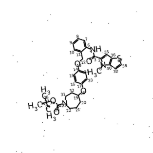 Cn1c(C(=O)Nc2ccccc2COc2ccc(OC3CCCN(C(=O)OC(C)(C)C)CC3)cc2)cc2sccc21